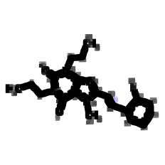 CCCn1c(=O)c2c(nc(/C=C/c3ccccc3F)n2C)n(CCC)c1=O